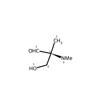 CN[C@](C)(C=O)CO